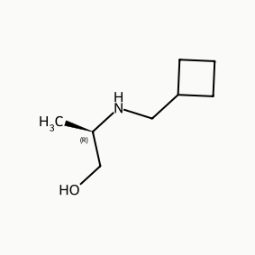 C[C@H](CO)NCC1CCC1